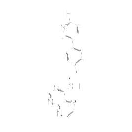 Fc1ccc(-c2ccc(CCNc3ncnc4nccnc34)cc2)cn1